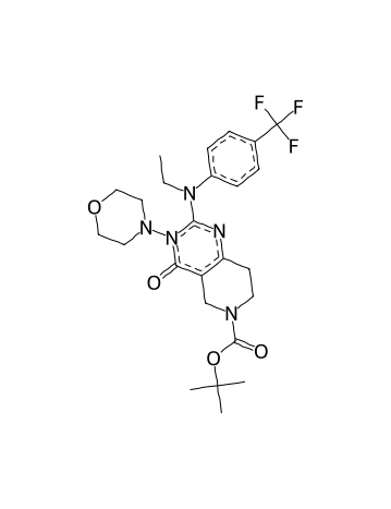 CCN(c1ccc(C(F)(F)F)cc1)c1nc2c(c(=O)n1N1CCOCC1)CN(C(=O)OC(C)(C)C)CC2